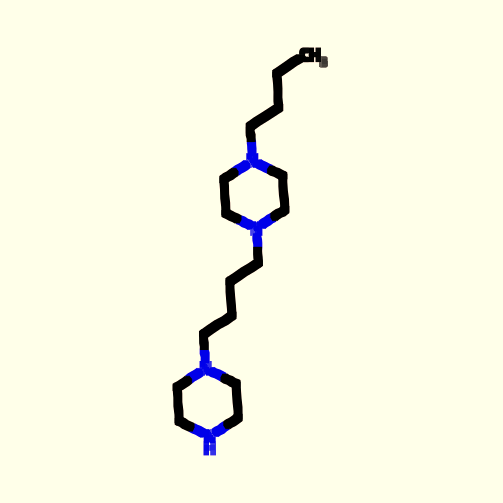 CCCCN1CCN(CCCCN2CCNCC2)CC1